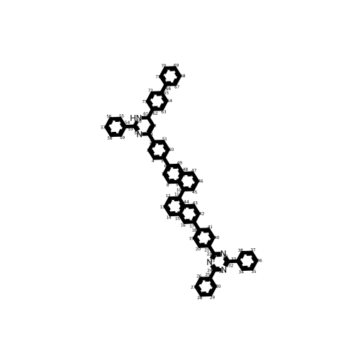 C1=C(c2ccc(-c3ccc4c(-c5cccc6cc(-c7ccc(-c8nc(-c9ccccc9)nc(-c9ccccc9)n8)cc7)ccc56)cccc4c3)cc2)N=C(c2ccccc2)NC1c1ccc(-c2ccccc2)cc1